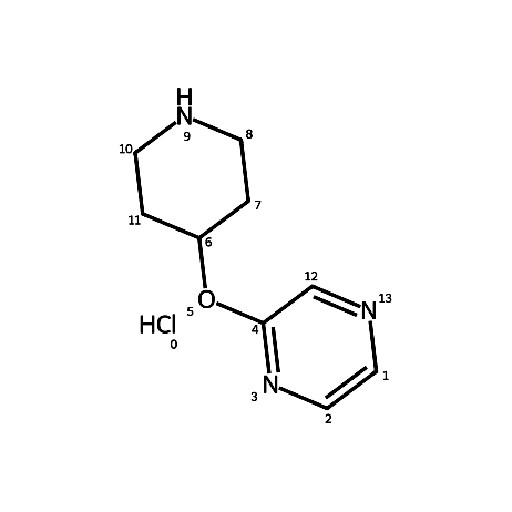 Cl.c1cnc(OC2CCNCC2)cn1